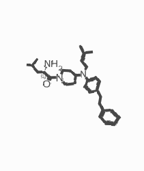 CC(C)=CCN(c1ccc(CCc2ccccc2)cc1)C1CCN(C(=O)[C@@H](N)CC(C)C)CC1